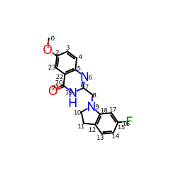 COc1ccc2nc(CN3CCc4ccc(F)cc43)[nH]c(=O)c2c1